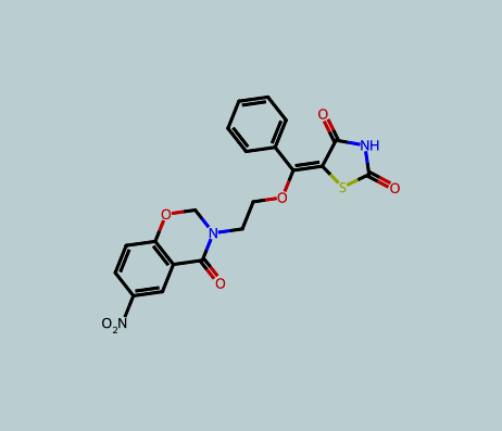 O=C1NC(=O)C(=C(OCCN2COc3ccc([N+](=O)[O-])cc3C2=O)c2ccccc2)S1